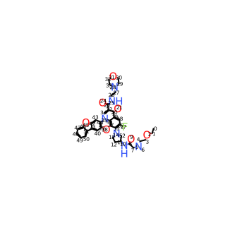 CCOCCN(C)CC(=O)N[C@@H]1CCN(c2c(F)cc3c(=O)c(C(=O)NCCN4CCOCC4)cn4c3c2Oc2cc3c(cc2-4)oc2ccccc23)C1